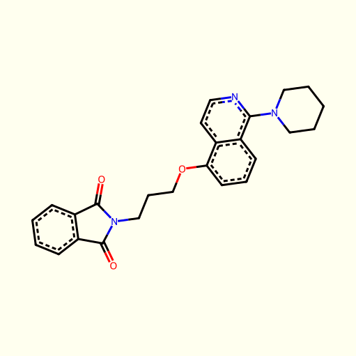 O=C1c2ccccc2C(=O)N1CCCOc1cccc2c(N3CCCCC3)nccc12